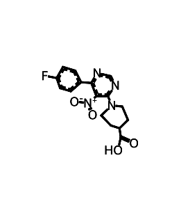 O=C(O)C1CCN(c2ncnc(-c3ccc(F)cc3)c2[N+](=O)[O-])CC1